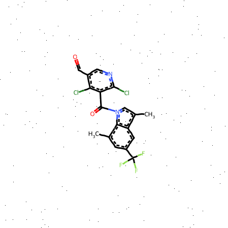 Cc1cn(C(=O)c2c(Cl)ncc(C=O)c2Cl)c2c(C)cc(C(F)(F)F)cc12